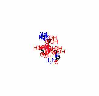 NC(=O)C1=CN([C@@H]2O[C@H](COP(=O)(O)OP(=O)(O)OC[C@H]3O[C@@H](n4cnc5c(N)ncnc54)[C@H](O)[C@@H]3O)[C@@H](O)[C@H]2O)C=CC1.O=C(O)CCC(=O)C(=O)O